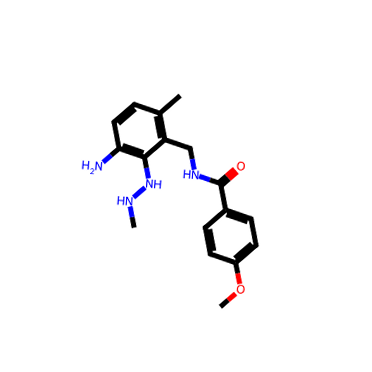 CNNc1c(N)ccc(C)c1CNC(=O)c1ccc(OC)cc1